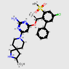 CCCS(=O)(=O)c1cc(Cl)cc(-c2ccccc2)c1[C@@H](Oc1cc(N2CCC3(CC2)CNC(C(=O)O)C3)nc(N)n1)C(F)(F)F